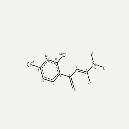 C=C(/C=C(\C)N(C)C)c1ccc(Cl)nc1Cl